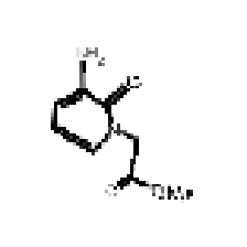 COC(=O)Cn1cccc(N)c1=O